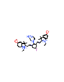 CCN1/C(=C/C=C2\CCCC(/C=C/C3=[N+](CC)c4ccc(OC)cc4C3(C)C)=C2N2CCNCC2)C(C)(C)c2cc(OC)ccc21.[I-]